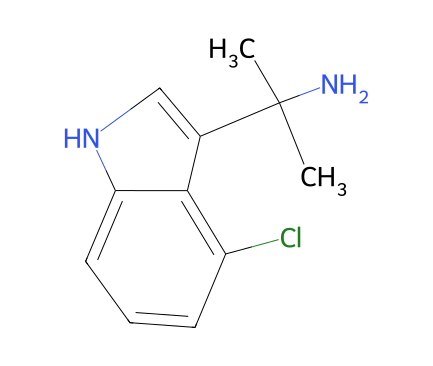 CC(C)(N)c1c[nH]c2cccc(Cl)c12